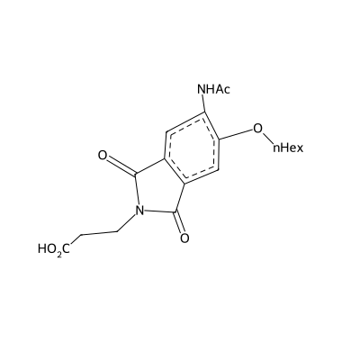 CCCCCCOc1cc2c(cc1NC(C)=O)C(=O)N(CCC(=O)O)C2=O